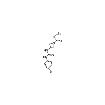 CC(C)(C)OC(=O)N1CC(NC(=O)Nc2ccc(Br)cc2)C1